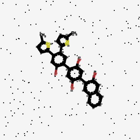 Cc1ccc(-c2cc(Br)c(-c3cc(Br)c(-c4cc5ccccc5cc4Br)cc3Br)cc2-c2ccc(C)s2)s1